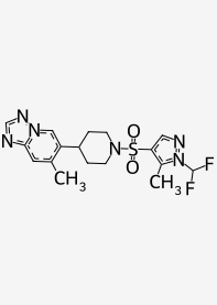 Cc1cc2ncnn2cc1C1CCN(S(=O)(=O)c2cnn(C(F)F)c2C)CC1